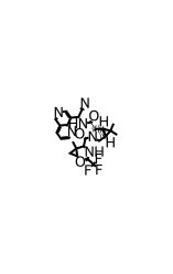 CC1(C(NC(=O)C(F)(F)F)C(=O)N2C[C@H]3[C@@H]([C@H]2C(=O)NC(C#N)c2cncc4cccnc24)C3(C)C)CC1